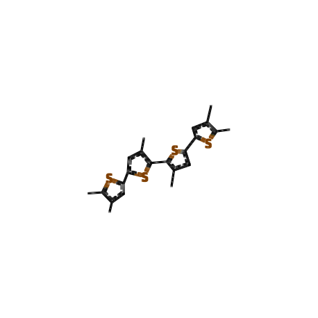 Cc1cc(-c2cc(C)c(-c3sc(-c4cc(C)c(C)s4)cc3C)s2)sc1C